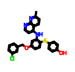 Cc1ccc2c(Nc3cc(OCc4cccc(Cl)c4)ccc3Sc3ccc(O)cc3)ccnc2n1